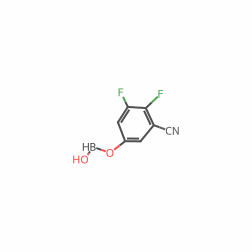 N#Cc1cc(OBO)cc(F)c1F